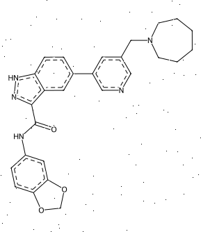 O=C(Nc1ccc2c(c1)OCO2)c1n[nH]c2ccc(-c3cncc(CN4CCCCCC4)c3)cc12